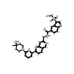 CC1(O)CCN(c2cccc(-c3ccc4cnc(CNC(=O)c5ccc6occ(S(=O)(=O)CF)c6c5)cc4n3)n2)CC1